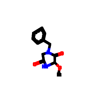 CCO[C@H]1NC(=O)CN(Cc2ccccc2)C1=O